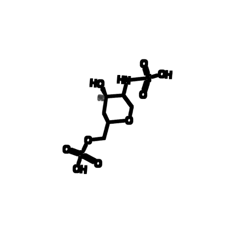 O=S(=O)(O)NC1COC(COS(=O)(=O)O)C[C@H]1O